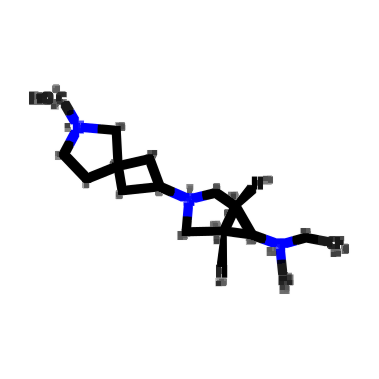 CCOC(=O)N1CCC2(CC(N3C[C@@H]4C(N(CC)CC(F)(F)F)[C@@H]4C3)C2)C1